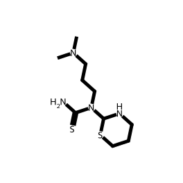 CN(C)CCCN(C(N)=S)C1NCCCS1